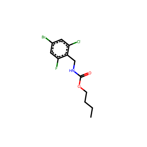 CCCCOC(=O)NCc1c(F)cc(Br)cc1Cl